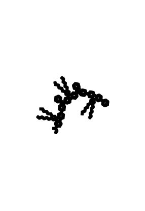 CCCCCCCCC1(CCCCCCCC)c2cc(-c3ccccc3)ccc2-c2ccc(-c3ccc(N(c4ccccc4)c4ccc5c(c4)C(CCCCCCCC)(CCCCCCCC)c4cc(N(c6ccccc6)c6ccc(-c7ccc8c(c7)C(CCCCCCCC)(CCCCCCCC)c7cc(C(C)CC)ccc7-8)cc6)ccc4-5)cc3)cc21